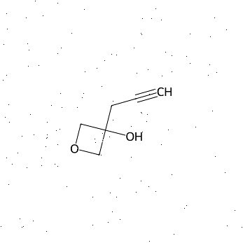 C#CCC1(O)COC1